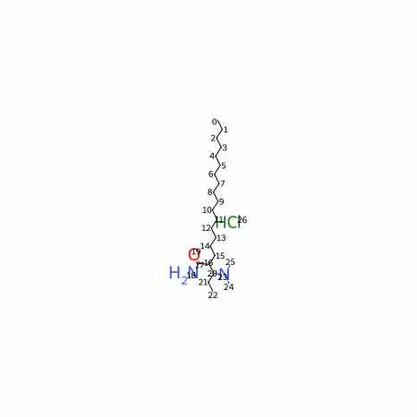 CCCCCCCCCCCCCCCCC(C(N)=O)C(CC)N(C)C.Cl